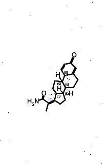 C/C(C(N)=O)=C1\CC[C@H]2[C@@H]3CCC4=CC(=O)C=C[C@]4(C)[C@H]3CC[C@]12C